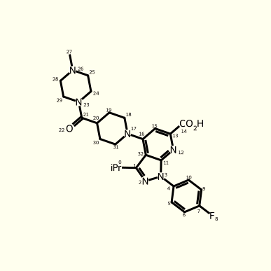 CC(C)c1nn(-c2ccc(F)cc2)c2nc(C(=O)O)cc(N3CCC(C(=O)N4CCN(C)CC4)CC3)c12